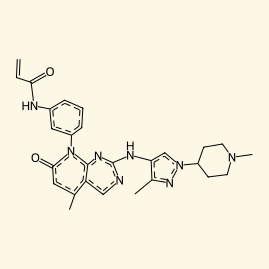 C=CC(=O)Nc1cccc(-n2c(=O)cc(C)c3cnc(Nc4cn(C5CCN(C)CC5)nc4C)nc32)c1